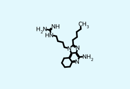 CCCCCc1nc2c(N)nc3c(c2n1CCCCNC(=N)N)CCCC3